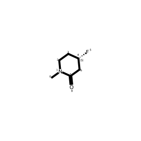 CN1CC[C@H](F)CC1=O